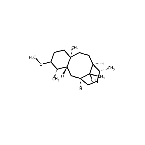 COC1CC[C@@]2(C)CC[C@H]3[C@H](C)CC[C@@H](C[C@@H]2[C@@H]1C)C3(C)C